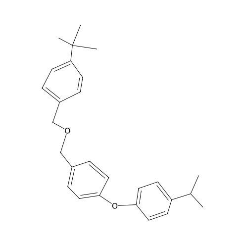 CC(C)c1ccc(Oc2ccc(COCc3ccc(C(C)(C)C)cc3)cc2)cc1